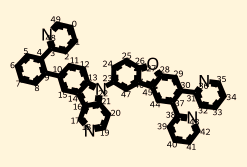 c1ccc(-c2ccccc2-c2ccc3c(c2)c2cnccc2n3-c2ccc3oc4cc(-c5ccccn5)c(-c5ccccn5)cc4c3c2)nc1